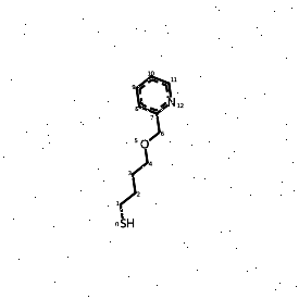 SCCCCOCc1ccccn1